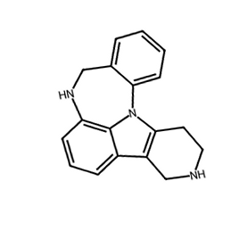 c1ccc2c(c1)CNc1cccc3c4c(n-2c13)CCNC4